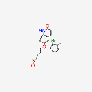 Cc1ccccc1Br.O=S=CCCCOc1ccc2[nH]c(=O)ccc2c1